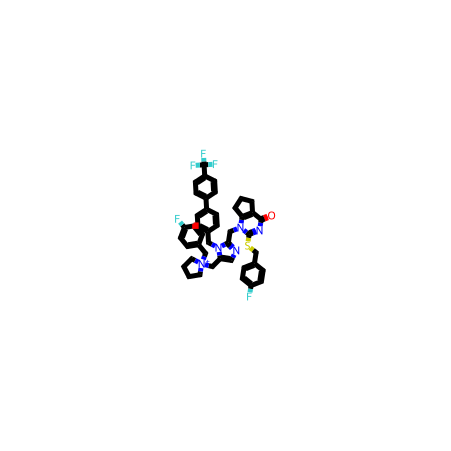 O=c1nc(SCc2ccc(F)cc2)n(Cc2ncc(C[N+]3(Cc4ccc(F)cc4)CCCC3)n2Cc2ccc(-c3ccc(C(F)(F)F)cc3)cc2)c2c1CCC2